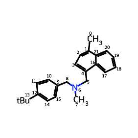 Cc1ccc(CN(C)Cc2ccc(C(C)(C)C)cc2)c2ccccc12